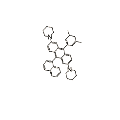 CC1=CC(c2c3cc(N4CCCCC4)ccc3c(-c3cccc4ccccc34)c3cc(N4CCCCC4)ccc23)=CC(C)C1